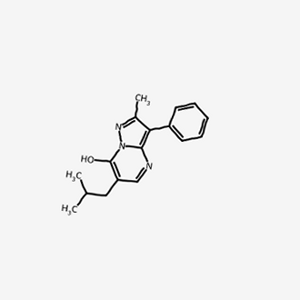 Cc1nn2c(O)c(CC(C)C)cnc2c1-c1ccccc1